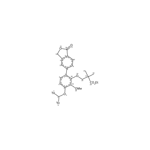 [2H]C([2H])Oc1ccc(-c2ccc3c(c2)COC3=O)c(OCC(C)(C)C(=O)OCC)c1OC